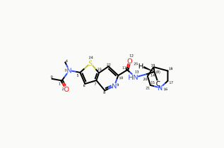 CC(=O)N(C)c1cc2cnc(C(=O)N[C@H]3CN4CCC3CC4)cc2s1